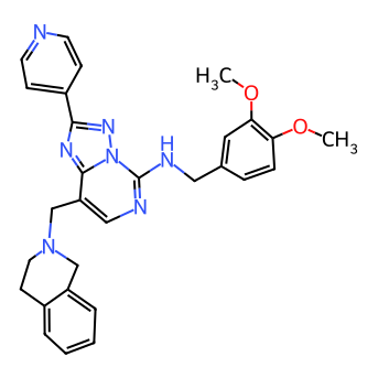 COc1ccc(CNc2ncc(CN3CCc4ccccc4C3)c3nc(-c4ccncc4)nn23)cc1OC